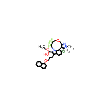 CCOC(O)c1c(CCCOc2cccc3ccccc23)c2ccc(Cl)c3c2n1CC(F)(F)C(F)(F)COCc1nn(C)c(C)c1-3